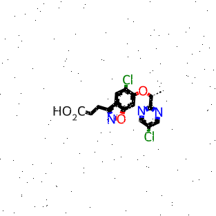 C[C@@H](Oc1cc2onc(CCC(=O)O)c2cc1Cl)c1ncc(Cl)cn1